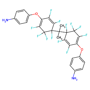 CC(C)(C1(F)C(F)=C(F)C(Oc2ccc(N)cc2)=C(F)C1(F)F)C1(F)C(F)=C(F)C(Oc2ccc(N)cc2)=C(F)C1(F)F